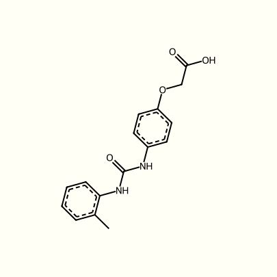 Cc1ccccc1NC(=O)Nc1ccc(OCC(=O)O)cc1